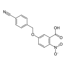 N#Cc1ccc(COc2ccc([N+](=O)[O-])c(C(=O)O)c2)cc1